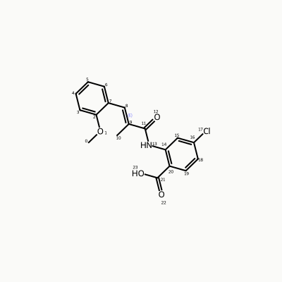 COc1ccccc1/C=C(\C)C(=O)Nc1cc(Cl)ccc1C(=O)O